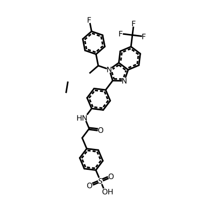 CC.CC(c1ccc(F)cc1)n1c(-c2ccc(NC(=O)Cc3ccc(S(=O)(=O)O)cc3)cc2)nc2ccc(C(F)(F)F)cc21